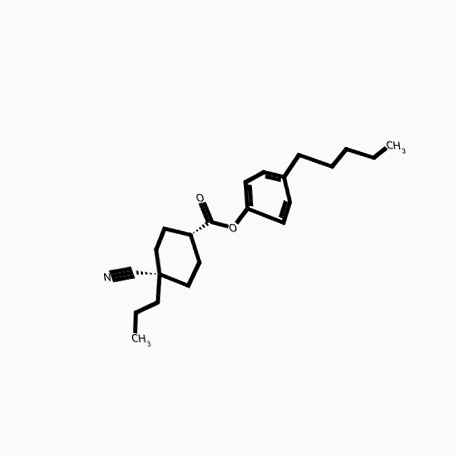 CCCCCc1ccc(OC(=O)[C@H]2CC[C@](C#N)(CCC)CC2)cc1